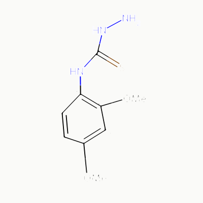 COc1ccc(NC(=S)NN)c(OC)c1